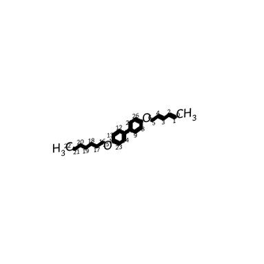 CC=CC=CCOc1ccc(-c2ccc(OCCCCCCC)cc2)cc1